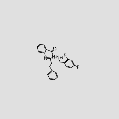 O=c1c2ccccc2nc(CCc2ccccc2)n1NCc1ccc(F)cc1F